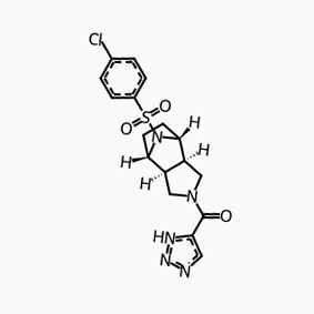 O=C(c1cnn[nH]1)N1C[C@@H]2[C@H](C1)[C@H]1CC[C@@H]2N1S(=O)(=O)c1ccc(Cl)cc1